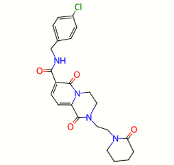 O=C(NCc1ccc(Cl)cc1)c1ccc2n(c1=O)CCN(CCN1CCCCC1=O)C2=O